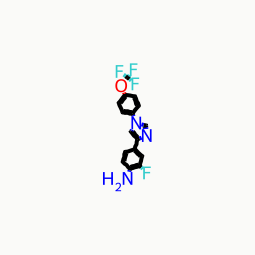 Nc1ccc(-c2cn(-c3ccc(OC(F)(F)F)cc3)cn2)cc1F